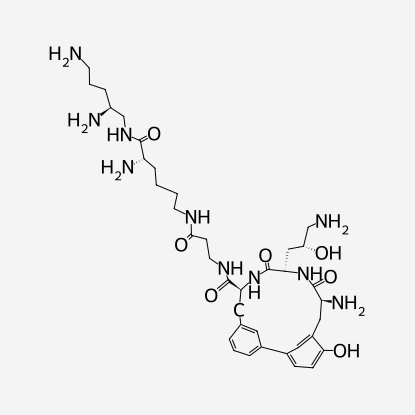 NCCC[C@H](N)CNC(=O)[C@@H](N)CCCCNC(=O)CCNC(=O)[C@@H]1Cc2cccc(c2)-c2ccc(O)c(c2)C[C@H](N)C(=O)N[C@@H](C[C@@H](O)CN)C(=O)N1